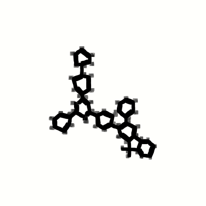 CC1(C)c2ccccc2-c2cc(-c3ccccc3)c(-c3ccc(-c4cc(-c5ccc(-c6ccccc6)cc5)nc(-c5ccccc5)n4)cc3)cc21